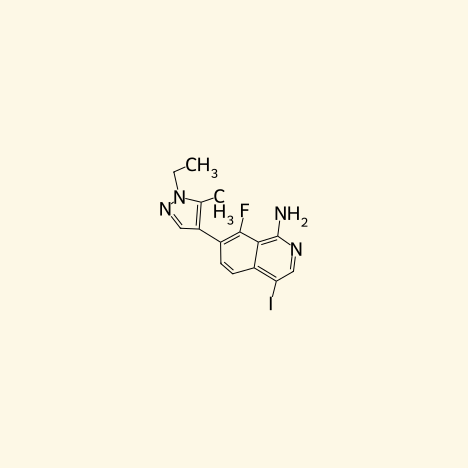 CCn1ncc(-c2ccc3c(I)cnc(N)c3c2F)c1C